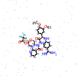 CCOc1cc(C(Nc2ccc(C(=N)N)cc2)C(=O)NNC(=O)c2cccnc2N2CCOCC2)ccc1OC(C)C.O=C(O)C(F)(F)F